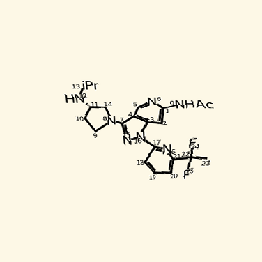 CC(=O)Nc1cc2c(cn1)c(N1CC[C@H](NC(C)C)C1)nn2-c1cccc(C(C)(F)F)n1